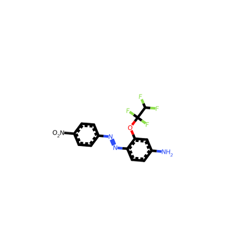 Nc1ccc(N=Nc2ccc([N+](=O)[O-])cc2)c(OC(F)(F)C(F)F)c1